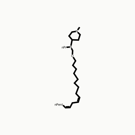 CCCCC/C=C\C/C=C\CCCCCCCCOCN(CCC)C1CCN(C)CC1